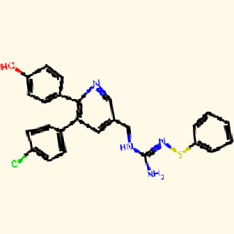 N/C(=N\Sc1ccccc1)NCc1cnc(-c2ccc(O)cc2)c(-c2ccc(Cl)cc2)c1